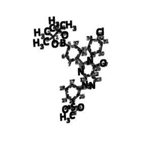 CC1(C)OB(c2ccc(-c3nc4c(cnn4-c4cccc(S(C)(=O)=O)c4)c(=O)n3-c3ccc(Cl)cc3)cc2)OC1(C)C